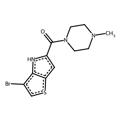 CN1CCN(C(=O)c2cc3scc(Br)c3[nH]2)CC1